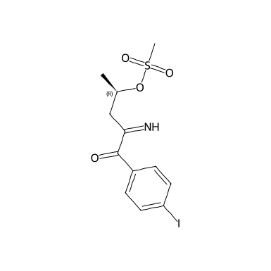 C[C@H](CC(=N)C(=O)c1ccc(I)cc1)OS(C)(=O)=O